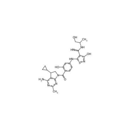 Cc1nc(N)c2c(n1)N(C(=O)c1ccc(Nc3snc(O)c3C(=N)NC(C)CO)cc1O)CC2C1CC1